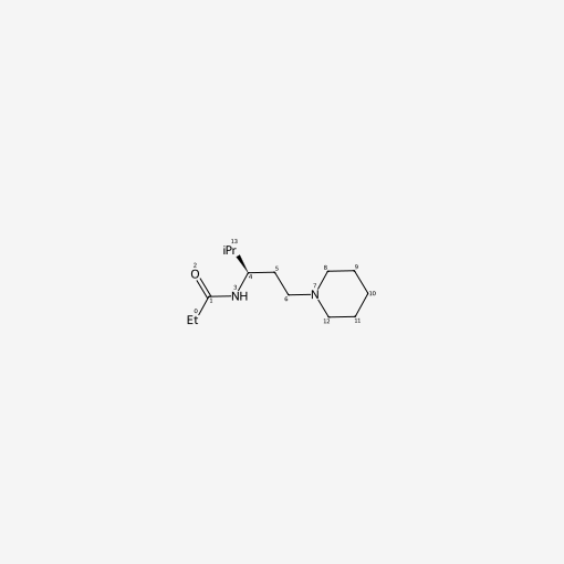 CCC(=O)N[C@H](CCN1CCCCC1)C(C)C